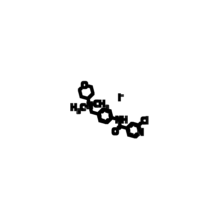 C[N+](C)(Cc1ccc(NC(=O)c2ccnc(Cl)c2)cc1)C1CCOCC1.[I-]